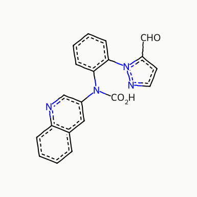 O=Cc1ccnn1-c1ccccc1N(C(=O)O)c1cnc2ccccc2c1